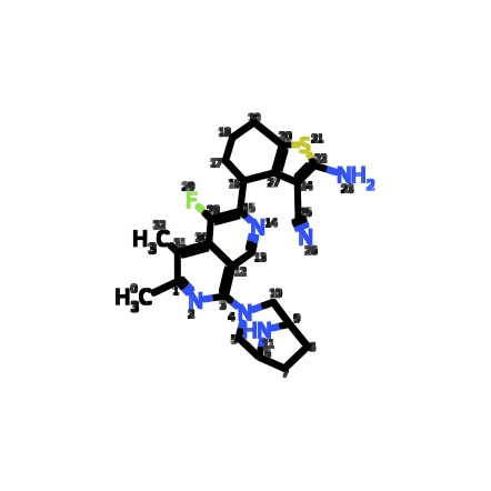 Cc1nc(N2CC3CCC(C2)N3)c2cnc(C3CCCc4sc(N)c(C#N)c43)c(F)c2c1C